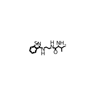 CC(C)[C@H](N)C(=O)NCCNc1nsc2ccccc12